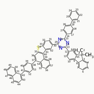 CC1(C)c2ccccc2-c2ccc(-c3nc(-c4ccc(-c5ccccc5)cc4)nc(-c4ccc5sc6cc(-c7ccc(-c8cccc9ccccc89)cc7)c7ccccc7c6c5c4)n3)cc21